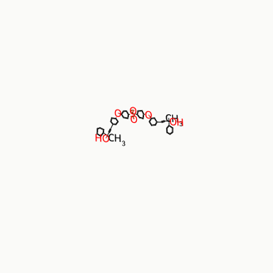 CC(O)(C#Cc1ccc(Oc2ccc(S(=O)(=O)c3ccc(Oc4cccc(C#CC(C)(O)c5ccccc5)c4)cc3)cc2)cc1)c1ccccc1